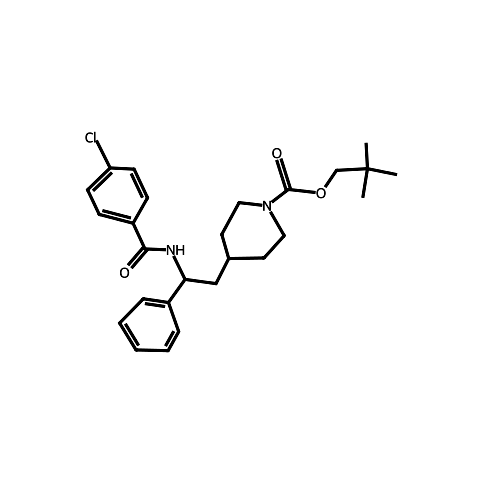 CC(C)(C)COC(=O)N1CCC(CC(NC(=O)c2ccc(Cl)cc2)c2ccccc2)CC1